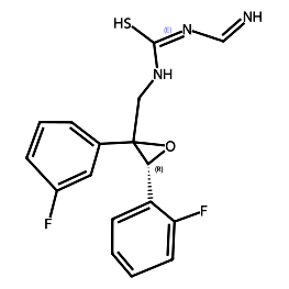 N=C/N=C(/S)NCC1(c2cccc(F)c2)O[C@@H]1c1ccccc1F